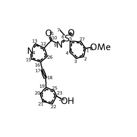 COc1cccc(S(C)(=O)=NC(=O)c2cncc(C#Cc3cccc(O)c3)c2)c1